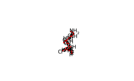 COC(=O)[C@H](CCNC(=O)C(=O)Nc1cccc(CN)c1)NC(=O)c1ccc(Nc2nc(NC3(c4ccc(Cl)cc4)CC3)nc(OCC(F)(F)F)n2)cc1